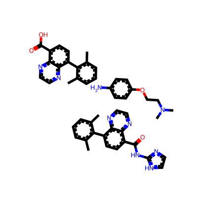 CN(C)CCOc1ccc(N)cc1.Cc1cccc(C)c1-c1ccc(C(=O)Nc2ncc[nH]2)c2nccnc12.Cc1cccc(C)c1-c1ccc(C(=O)O)c2nccnc12